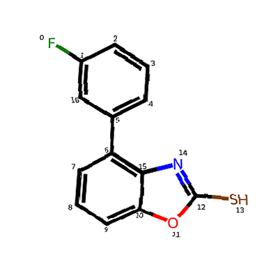 Fc1cccc(-c2cccc3oc(S)nc23)c1